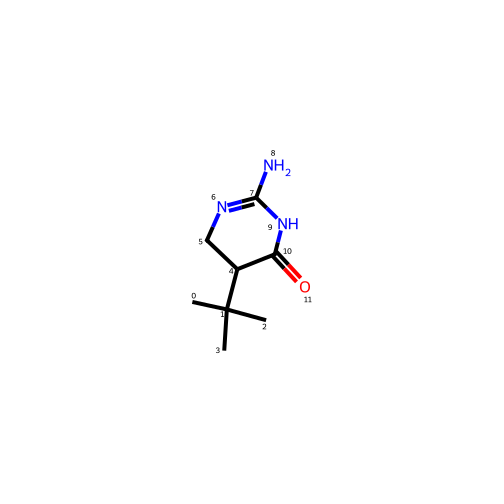 CC(C)(C)C1CN=C(N)NC1=O